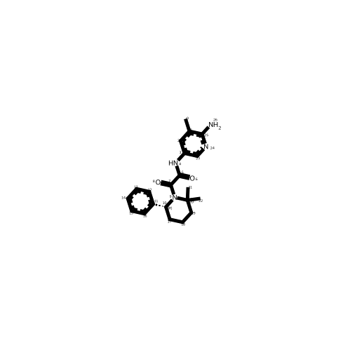 Cc1cc(NC(=O)C(=O)N2[C@@H](c3ccccc3)CCCC2(C)C)cnc1N